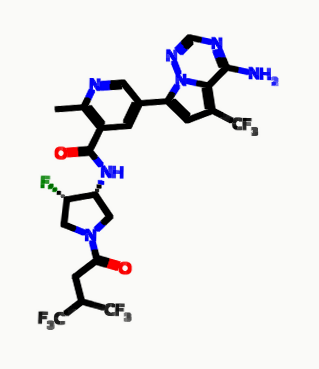 Cc1ncc(-c2cc(C(F)(F)F)c3c(N)ncnn23)cc1C(=O)N[C@@H]1CN(C(=O)CC(C(F)(F)F)C(F)(F)F)C[C@@H]1F